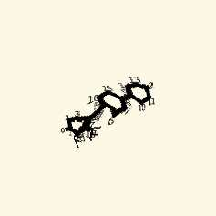 Cc1ccc(C2CCC(C3CCCCC3)CC2)c(F)c1F